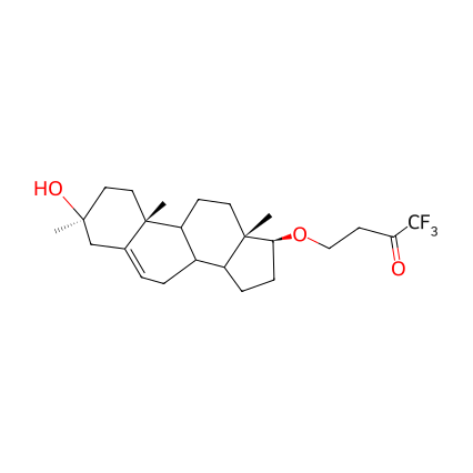 C[C@]1(O)CC[C@@]2(C)C(=CCC3C2CC[C@@]2(C)C3CC[C@@H]2OCCC(=O)C(F)(F)F)C1